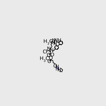 CCCCc1nc(Cl)c(C(=O)OC(C)OC(=O)CCCO/N=N/N2CCCC2)n1Cc1ccc(-c2ccccc2-c2nnn[nH]2)cc1